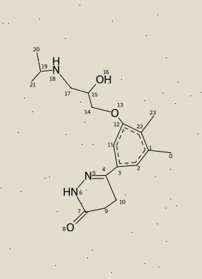 Cc1cc(C2=NNC(=O)CC2)cc(OCC(O)CNC(C)C)c1C